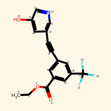 CCOC(=O)c1cc(C#Cc2cncc(O)c2)cc(C(F)(F)F)c1